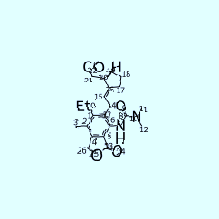 CCc1c(C)c2c(c(NC(=O)N(C)C)c1CC=C1CCCC1CC(=O)O)C(=O)OC2